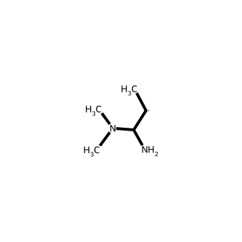 C[CH]C(N)N(C)C